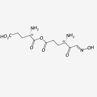 N[C@@H](CCC(=O)OC(=O)[C@@H](N)CCC(=O)O)C(=O)C=NO